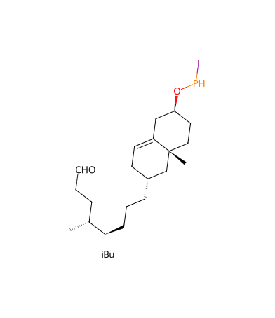 CC[C@H](C)[C@H](CCC[C@@H]1CC=C2C[C@@H](OPI)CC[C@]2(C)C1)[C@H](C)CCC=O